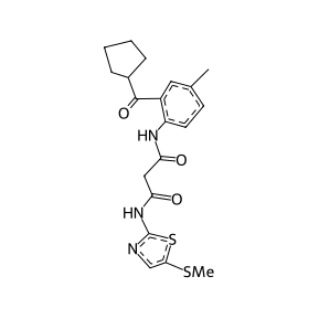 CSc1cnc(NC(=O)CC(=O)Nc2ccc(C)cc2C(=O)C2CCCC2)s1